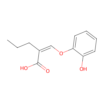 CCCC(=COc1ccccc1O)C(=O)O